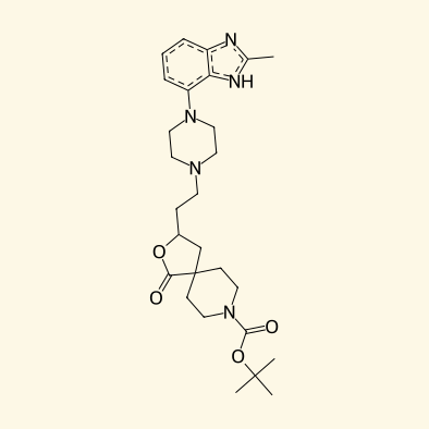 Cc1nc2cccc(N3CCN(CCC4CC5(CCN(C(=O)OC(C)(C)C)CC5)C(=O)O4)CC3)c2[nH]1